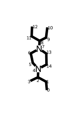 CCC(C)N1CCN(C(CC)CC)CC1